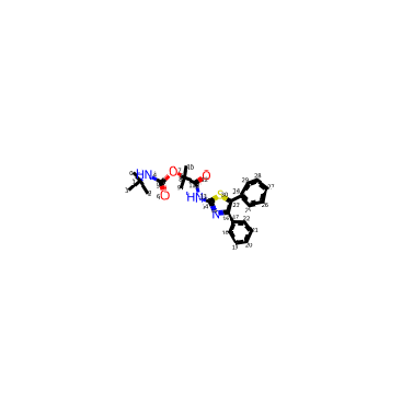 CC(C)(C)NC(=O)OC(C)(C)C(=O)Nc1nc(-c2ccccc2)c(-c2ccccc2)s1